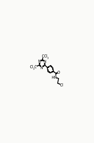 O=C(NCCCl)c1ccc(-c2nc(C(Cl)(Cl)Cl)nc(C(Cl)(Cl)Cl)n2)cc1